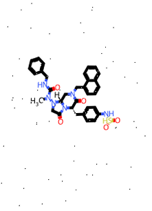 CN(C(=O)NCc1ccccc1)N1CC(=O)N2[C@@H](Cc3ccc(N[SH](=O)=O)cc3)C(=O)N(Cc3cccc4ccccc34)C[C@@H]21